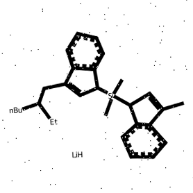 CCCCC(CC)CC1=C[C]([Si](C)(C)C2C=C(C)c3ccccc32)c2ccccc21.[LiH]